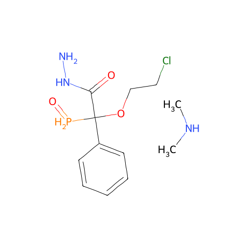 CNC.NNC(=O)C(OCCCl)([PH2]=O)c1ccccc1